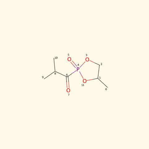 CC1COP(=O)(C(=O)C(C)C)O1